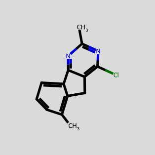 Cc1nc(Cl)c2c(n1)-c1cccc(C)c1C2